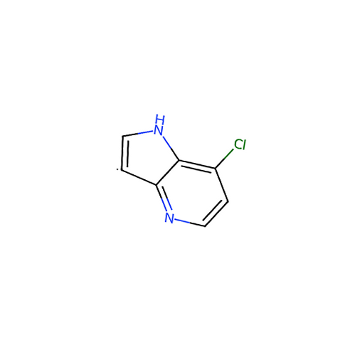 Clc1ccnc2[c]c[nH]c12